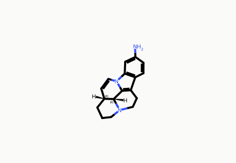 Nc1ccc2c3c4n(c2c1)C=C[C@H]1CCCN(CC3)[C@@H]41